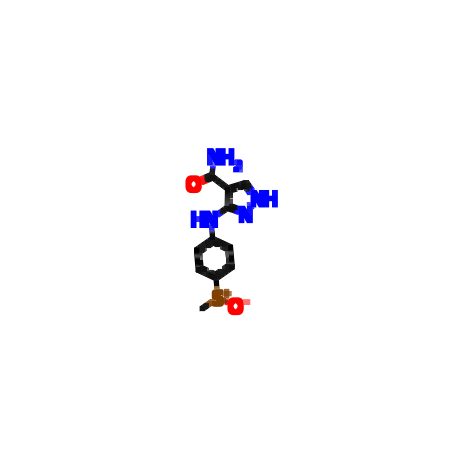 C[S+]([O-])c1ccc(Nc2n[nH]cc2C(N)=O)cc1